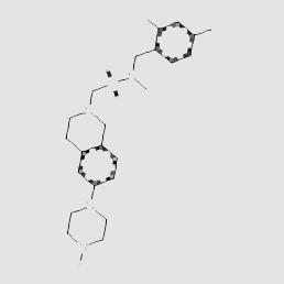 CC(=O)N1CCN(c2ccc3c(c2)CCN(CS(=O)(=O)N(C)Cc2ccc(F)cc2F)C3)CC1